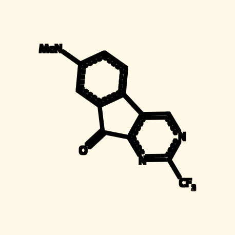 CNc1ccc2c(c1)C(=O)c1nc(C(F)(F)F)ncc1-2